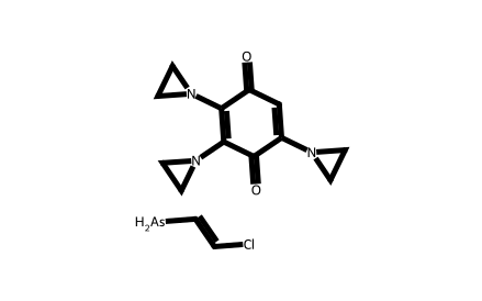 Cl/C=C/[AsH2].O=C1C=C(N2CC2)C(=O)C(N2CC2)=C1N1CC1